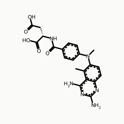 Cc1c(N(C)c2ccc(C(=O)N[C@@H](CC(=O)O)C(=O)O)cc2)ccc2nc(N)nc(N)c12